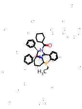 CCP(c1ccccc1C1=N[C@H](c2ccccc2)[C@@H](c2ccccc2)N1C(=O)C1CCCCC1)C1CCCCC1